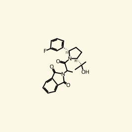 CC(C(=O)N1[C@H](c2cccc(F)c2)CC[C@@H]1C(C)(C)O)N1C(=O)c2ccccc2C1=O